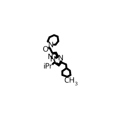 CC1CCC(Cc2cc(C(C)C)n3nc(C(=O)N4CCCCCC4)cc3n2)CC1